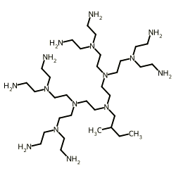 CCC(C)CN(CCN(CCN(CCN)CCN)CCN(CCN)CCN)CCN(CCN(CCN)CCN)CCN(CCN)CCN